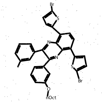 CCCCCCCCOc1cccc(-c2nc3c(-c4ccc(Br)s4)ccc(-c4ccc(Br)s4)c3nc2-c2cccc(C)c2)c1